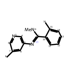 CN/C(=N\c1cncc(C)c1)c1ccccc1C